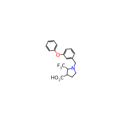 O=C(O)C1CCN(Cc2cccc(Oc3ccccc3)c2)C1C(F)(F)F